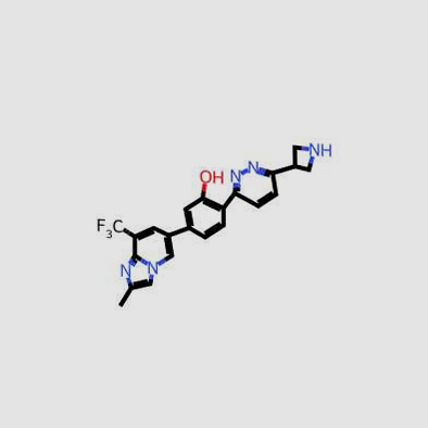 Cc1cn2cc(-c3ccc(-c4ccc(C5CNC5)nn4)c(O)c3)cc(C(F)(F)F)c2n1